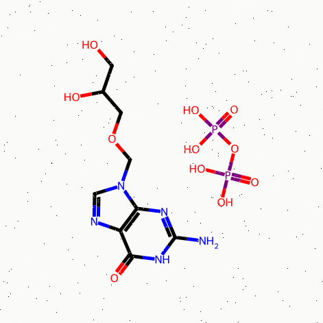 Nc1nc2c(ncn2COCC(O)CO)c(=O)[nH]1.O=P(O)(O)OP(=O)(O)O